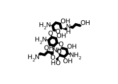 NCC[C@H](O)C(=O)N[C@@H]1C[C@H](N)[C@@H](O[C@H]2O[C@H](CNCCCO)[C@@H](O)C[C@H]2N)[C@H](O)[C@H]1O[C@H]1O[C@H](CO)[C@@H](O)[C@H](N)[C@H]1O